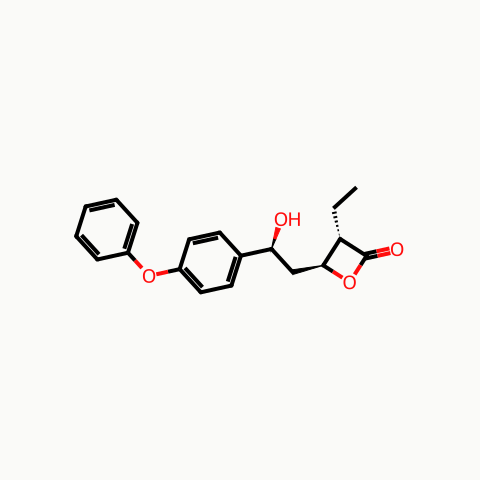 CC[C@@H]1C(=O)O[C@H]1C[C@H](O)c1ccc(Oc2ccccc2)cc1